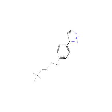 CC(C)(C)CCCCc1ccc(C2C=CN=N2)cc1